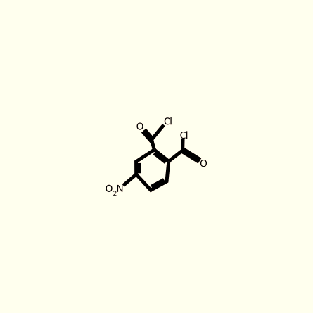 O=C(Cl)c1ccc([N+](=O)[O-])cc1C(=O)Cl